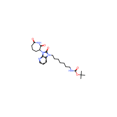 CC(C)(C)OC(=O)NCCCCCCCn1c(=O)n(C2CCCC(=O)NC2=O)c2ncccc21